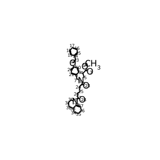 COC(=O)CCN(Cc1ccc(OCc2ccccc2)cc1)C(=O)CCCC(=O)N1CCCC2CCCC=C21